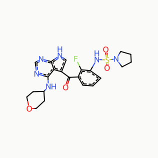 O=C(c1cccc(NS(=O)(=O)N2CCCC2)c1F)c1c[nH]c2ncnc(NC3CCOCC3)c12